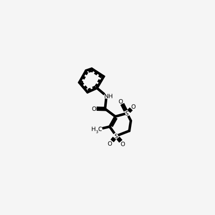 CC1=C(C(=O)Nc2ccccc2)S(=O)(=O)CCS1(=O)=O